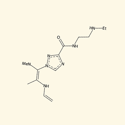 C=CN/C(C)=C(/NC)n1cnc(C(=O)NCCNCC)n1